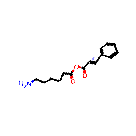 NCCCCCC(=O)OC(=O)/C=C/c1ccccc1